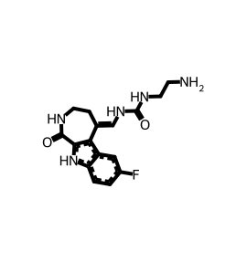 NCCNC(=O)NC=C1CCNC(=O)c2[nH]c3ccc(F)cc3c21